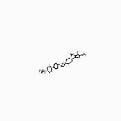 CCCc1ccc(C2CCC(OCc3ccc(C4CCC(CCC)CC4)cc3)CC2)c(F)c1F